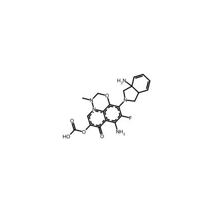 CN1COc2c(N3CC4C=CC=CC4(N)C3)c(F)c(N)c3c(=O)c(OC(=O)O)cn1c23